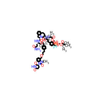 C/C(=C\C(=O)N[C@H]1CCc2cccc3c2N(C1=O)[C@H](C(=O)N[C@@H](CCC(N)=O)[C@@H](C)OCc1ccc(CCCOCc2cccc4c2n(C)c(=O)n4C2CCC(=O)NC2=O)cc1)C3)c1ccc(C(F)(F)P(=O)(OCOC(=O)C(C)(C)C)OCOC(=O)C(C)(C)C)cc1